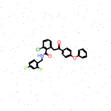 O=C(Cc1cccc(Cl)c1C(=O)NCc1ccc(F)cc1F)c1ccc(Oc2ccccc2)cc1